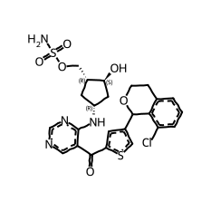 NS(=O)(=O)OC[C@H]1C[C@@H](Nc2ncncc2C(=O)c2cc(C3OCCc4cccc(Cl)c43)cs2)C[C@@H]1O